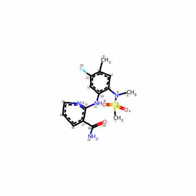 Cc1cc(N(C)S(C)(=O)=O)c(Nc2ncccc2C(N)=O)cc1F